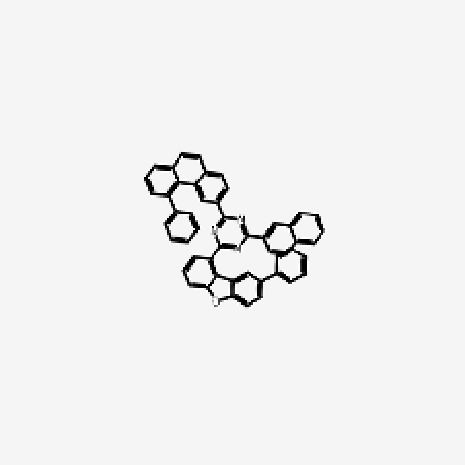 c1ccc(-c2ccc3oc4cccc(-c5nc(-c6ccc7ccccc7c6)nc(-c6ccc7ccc8cccc(-c9ccccc9)c8c7c6)n5)c4c3c2)cc1